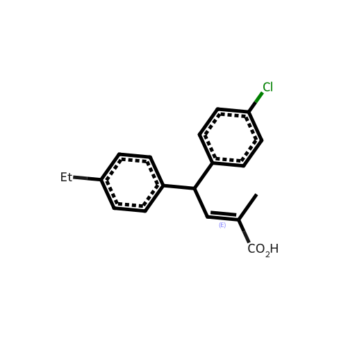 CCc1ccc(C(/C=C(\C)C(=O)O)c2ccc(Cl)cc2)cc1